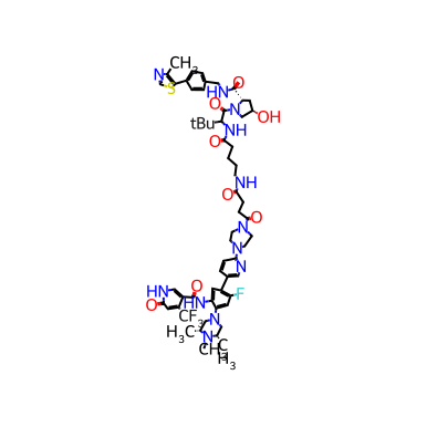 Cc1ncsc1-c1ccc(CNC(=O)[C@@H]2C[C@@H](O)CN2C(=O)C(NC(=O)CCCCNC(=O)CCC(=O)N2CCN(c3ccc(-c4cc(NC(=O)c5c[nH]c(=O)cc5C(F)(F)F)c(N5C[C@@H](C)N(C)[C@@H](C)C5)cc4F)cn3)CC2)C(C)(C)C)cc1